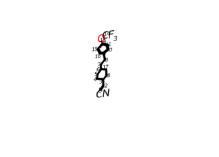 N#CC=CC1CCC(CCc2ccc(OC(F)(F)F)cc2)CC1